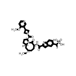 CC[C@H]1CC[C@H](NC(=O)c2cc3cc(C(F)P(=O)(O)O)ccc3s2)C(=O)N2[C@H](CC[C@H]2C(=O)N2CC(c3cnccc3OC)C2)C1